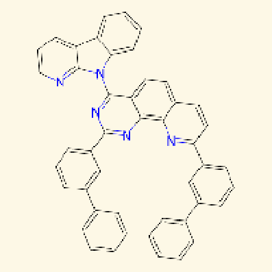 c1ccc(-c2cccc(-c3ccc4ccc5c(-n6c7ccccc7c7cccnc76)nc(-c6cccc(-c7ccccc7)c6)nc5c4n3)c2)cc1